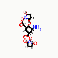 Nc1cc(C(=O)ON2C(=O)CCC2=O)cc(C2OC2ON2C(=O)CCC2=O)c1